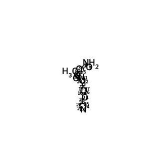 CS(=O)(=O)C(CCC(N)=O)n1ccc(-c2ccc(OCc3ccncc3)cc2)cc1=O